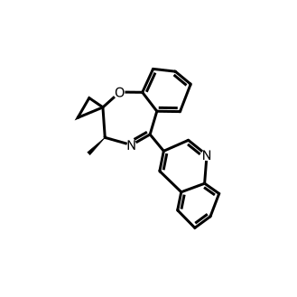 C[C@@H]1N=C(c2cnc3ccccc3c2)c2ccccc2OC12CC2